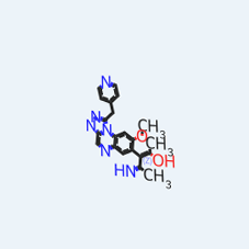 COc1cc2c(cc1/C(C(C)=N)=C(\C)O)ncc1nnc(Cc3ccncc3)n12